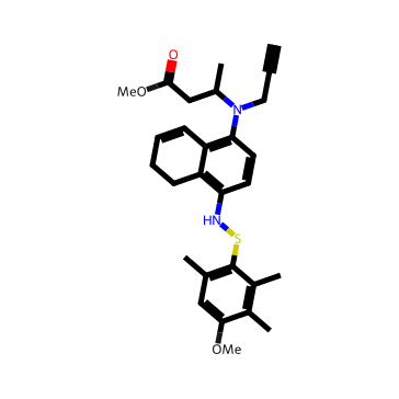 C#CCN(c1ccc(NSc2c(C)cc(OC)c(C)c2C)c2c1C=CCC2)C(C)CC(=O)OC